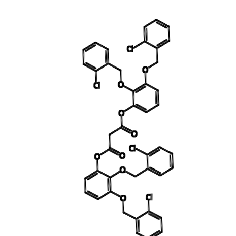 O=C(CC(=O)Oc1cccc(OCc2ccccc2Cl)c1OCc1ccccc1Cl)Oc1cccc(OCc2ccccc2Cl)c1OCc1ccccc1Cl